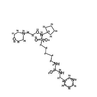 O=C(NCCCCCS(=O)(=O)N(OCCN1CCOCC1)C1CCCC1)NCc1cccnc1